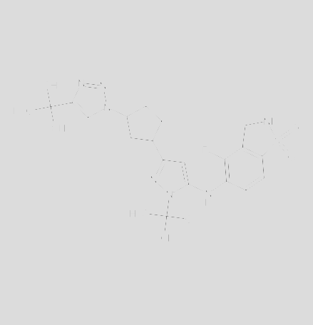 CC(C)(C)c1cn(C2CCC(c3cc(Nc4ccc5c(c4F)CNS5(=O)=O)n(C(C)(C)C)n3)C2)nn1